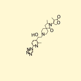 CC1=C(N2C(=O)C3(CCN(C[C@@H](O)c4ccc(-n5cnnn5)nc4C)CC3)CC2C)COC1=O